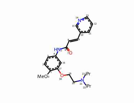 COc1ccc(NC(=O)/C=C/c2cccnc2)cc1OCCN(C(C)C)C(C)C